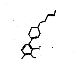 C/C=C/CCC1CC=C(c2ccc(C)c(F)c2F)CC1